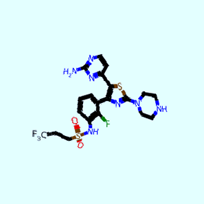 Nc1nccc(-c2sc(N3CCNCC3)nc2-c2cccc(NS(=O)(=O)CCC(F)(F)F)c2F)n1